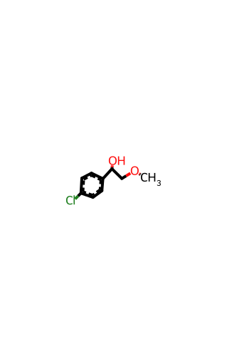 COCC(O)c1ccc(Cl)cc1